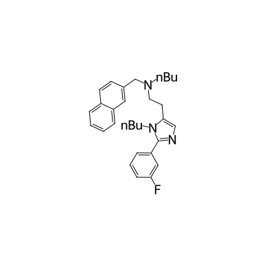 CCCCN(CCc1cnc(-c2cccc(F)c2)n1CCCC)Cc1ccc2ccccc2c1